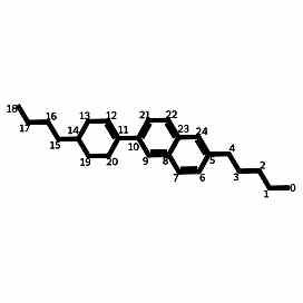 CCCCCc1ccc2cc(C3=CCC(CCCC)CC3)ccc2c1